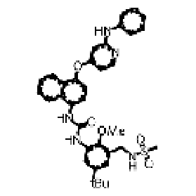 COc1c(CNS(C)(=O)=O)cc(C(C)(C)C)cc1NC(=O)Nc1ccc(Oc2ccnc(Nc3ccccc3)c2)c2ccccc12